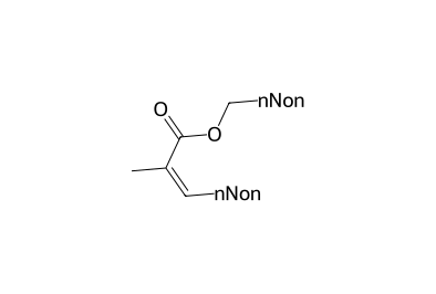 CCCCCCCCCC=C(C)C(=O)OCCCCCCCCCC